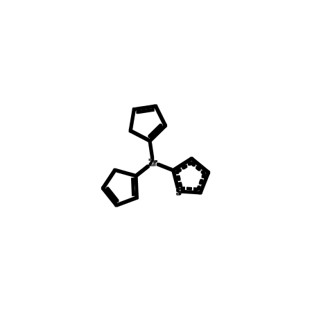 C1=CC[C]([Zr]([C]2=CC=CC2)[c]2cccs2)=C1